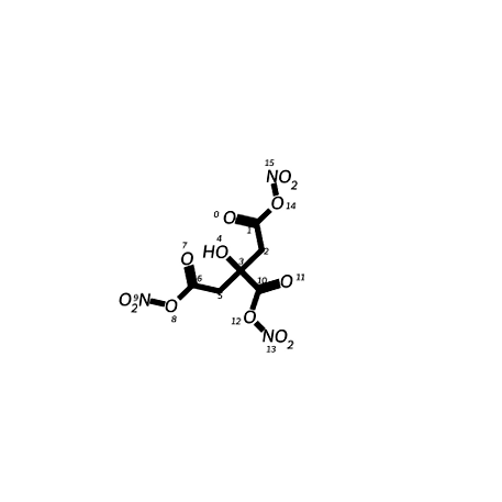 O=C(CC(O)(CC(=O)O[N+](=O)[O-])C(=O)O[N+](=O)[O-])O[N+](=O)[O-]